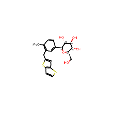 COc1ccc([C@@H]2O[C@H](CO)[C@@H](O)[C@H](O)[C@H]2O)cc1Cc1cc2sccc2s1